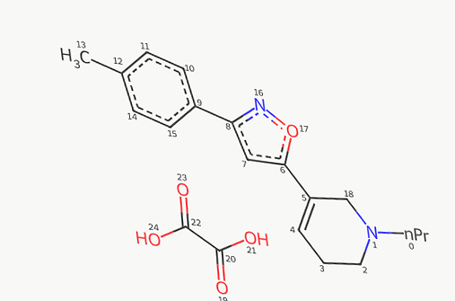 CCCN1CCC=C(c2cc(-c3ccc(C)cc3)no2)C1.O=C(O)C(=O)O